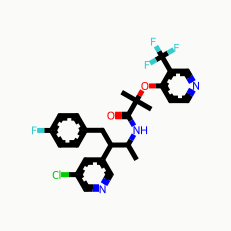 CC(NC(=O)C(C)(C)Oc1ccncc1C(F)(F)F)C(Cc1ccc(F)cc1)c1cncc(Cl)c1